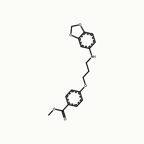 COC(=O)c1ccc(OCCCNc2ccc3c(c2)OCO3)cc1